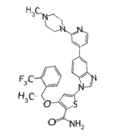 C[C@@H](Oc1cc(-n2cnc3cc(-c4ccnc(N5CCN(C)CC5)c4)ccc32)sc1C(N)=O)c1ccccc1C(F)(F)F